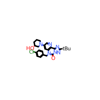 CC(C)(C)c1nc2c3ncc(N4CCCC(O)C4)cc3n(Cc3ccc(Cl)cc3)c(=O)n2n1